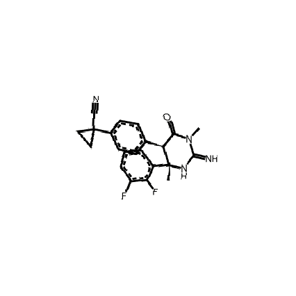 CN1C(=N)N[C@](C)(c2cccc(F)c2F)[C@@H](c2ccc(C3(C#N)CC3)cc2)C1=O